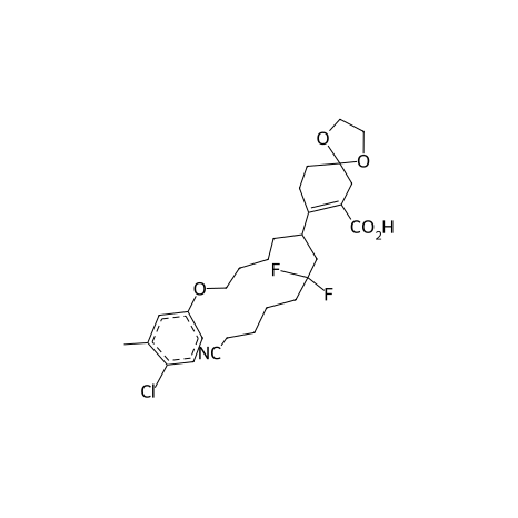 Cc1cc(OCCCCC(CC(F)(F)CCCCC#N)C2=C(C(=O)O)CC3(CC2)OCCO3)ccc1Cl